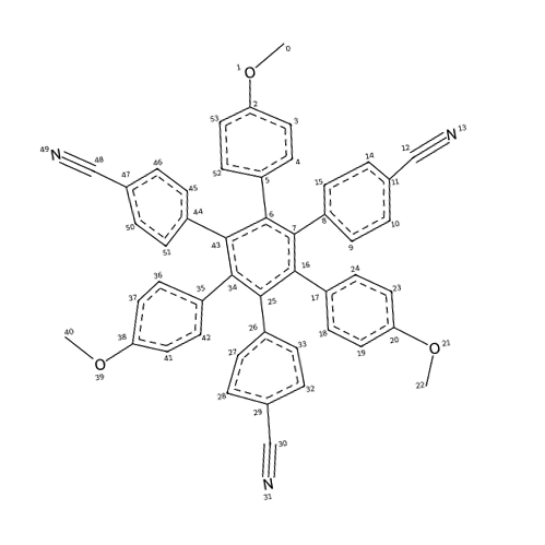 COc1ccc(-c2c(-c3ccc(C#N)cc3)c(-c3ccc(OC)cc3)c(-c3ccc(C#N)cc3)c(-c3ccc(OC)cc3)c2-c2ccc(C#N)cc2)cc1